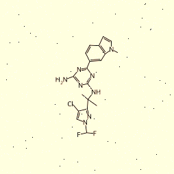 Cn1ccc2ccc(-c3nc(N)nc(NC(C)(C)c4nn(C(F)F)cc4Cl)n3)cc21